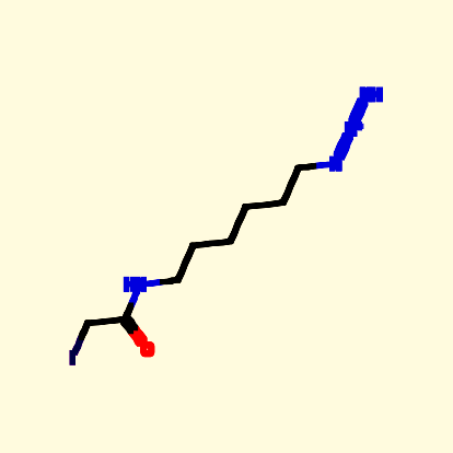 N=[N+]=NCCCCCCNC(=O)CI